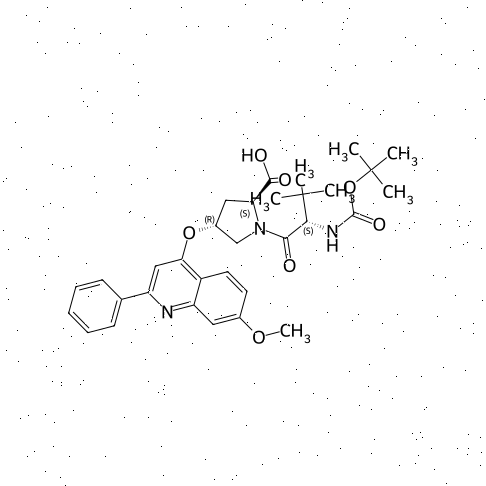 COc1ccc2c(O[C@@H]3C[C@@H](C(=O)O)N(C(=O)[C@@H](NC(=O)OC(C)(C)C)C(C)(C)C)C3)cc(-c3ccccc3)nc2c1